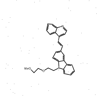 COCCOCCn1c2ccccc2c2cc(/C=C/c3ccnc4ccccc34)ccc21